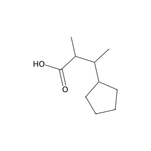 CC(C(=O)O)C(C)C1CCCC1